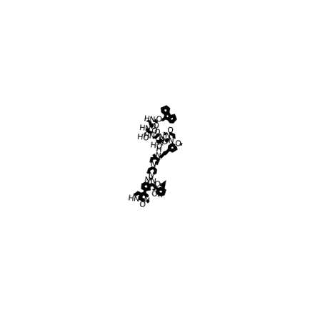 COc1ccc(C#CCNC2(C)CCN(C3CCN(c4nc([C@@](CO)(OC5CC5)c5ccccc5)c5cc(-c6cn(C)c(=O)c7[nH]ccc67)ccc5n4)CC3)CC2)cc1N1CCC(=O)N(CNC(=O)[C@H](CC(=O)O)NC(=O)[C@H](CO)NC(=O)[C@@H](C)NC(=O)OCC2c3ccccc3-c3ccccc32)C1=O